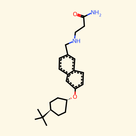 CC(C)(C)[C@H]1CC[C@H](Oc2ccc3cc(CNCCC(N)=O)ccc3c2)CC1